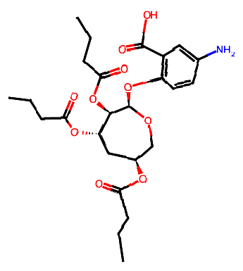 CCCC(=O)O[C@@H]1CO[C@H](Oc2ccc(N)cc2C(=O)O)[C@H](OC(=O)CCC)[C@@H](OC(=O)CCC)C1